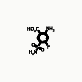 Nc1cc(F)c(S(N)(=O)=O)cc1C(=O)O